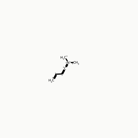 C=CC=C=[N+](C)C